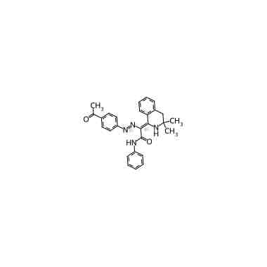 CC(=O)c1ccc(/N=N/C(C(=O)Nc2ccccc2)=C2/NC(C)(C)Cc3ccccc32)cc1